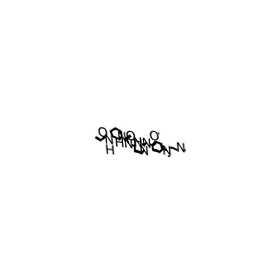 C=CC(=O)NC1CCCN(C(=O)Nc2ccnc(Nc3ccc(N(C)CCN(C)C)cc3OC)n2)C1